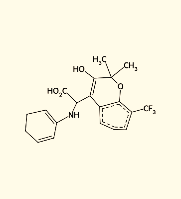 CC1(C)Oc2c(cccc2C(F)(F)F)C(C(NC2=CCCC=C2)C(=O)O)=C1O